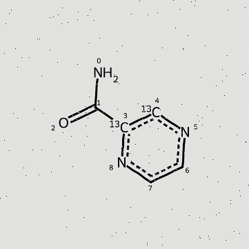 NC(=O)[13c]1[13cH]nccn1